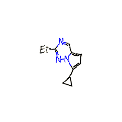 CCc1ncc2ccc(C3CC3)n2n1